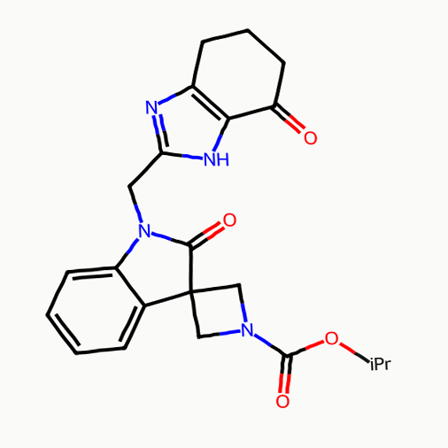 CC(C)OC(=O)N1CC2(C1)C(=O)N(Cc1nc3c([nH]1)C(=O)CCC3)c1ccccc12